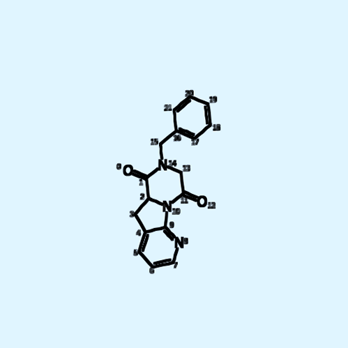 O=C1C2Cc3cccnc3N2C(=O)CN1Cc1ccccc1